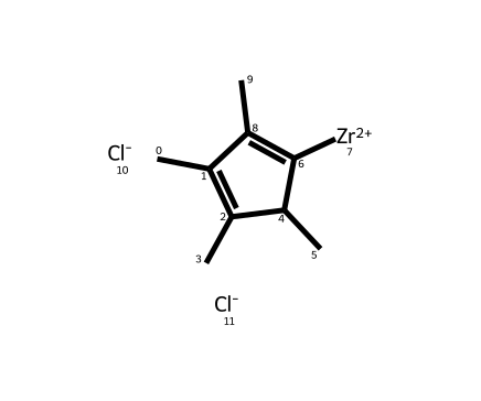 CC1=C(C)C(C)[C]([Zr+2])=C1C.[Cl-].[Cl-]